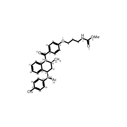 COC(=O)NCCCOc1ccc(C(=O)N2c3ccccc3[C@H](N(C(C)=O)c3ccc(Cl)cc3)C[C@@H]2C)cc1